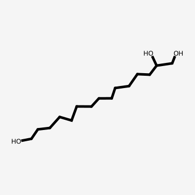 OCCCCCCCCCCCCCC(O)CO